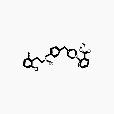 CCN(CCc1c(F)cccc1Cl)Cc1ccc(CN2CCN(c3ncccc3C(=O)OC(C)C)CC2)cc1